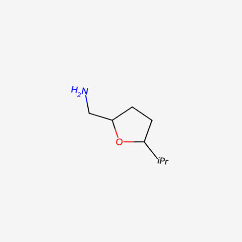 CC(C)C1CCC(CN)O1